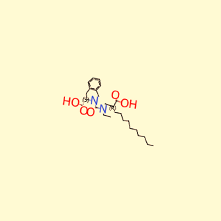 CCCCCCCCCC[C@H](CN(CC)C(=O)N1Cc2ccccc2C[C@H]1C(=O)O)C(=O)O